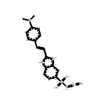 CN(C)c1ccc(/C=C/c2nc3ccc(S(=O)(=O)N=[N+]=[N-])cc3s2)cc1